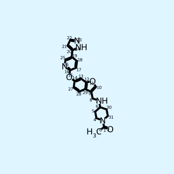 CC(=O)N1CCC(NCc2coc3cc(Oc4ccc(-c5ccn[nH]5)cn4)ccc23)CC1